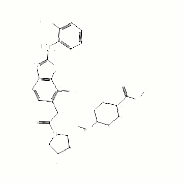 COC(=O)C1CCC(OC[C@@H]2C[C@H](F)CN2C(=O)Cc2ccc3nc(Nc4ccccc4C)oc3c2F)CC1